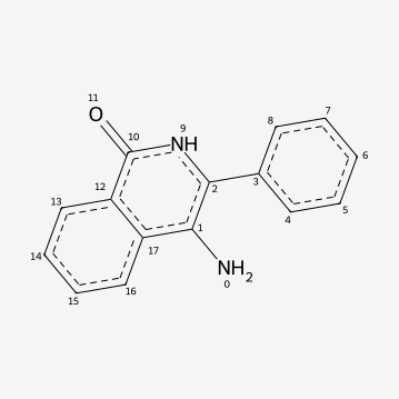 Nc1c(-c2ccccc2)[nH]c(=O)c2ccccc12